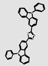 c1ccc(-n2c3ccccc3c3cc(-c4nnc(-c5ccc6c(c5)c5ccccc5n6-c5ccccc5)o4)ccc32)cc1